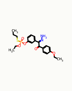 CCCSP(=O)(OCC)Oc1cccc(/C(=N\N)C(=O)c2ccc(OCC)cc2)c1